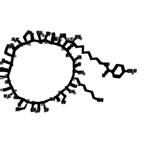 CC[C@@H]1NC(=O)[C@H]([C@H](O)[C@H](C)CCCCCCCNC(=O)c2ccc(C(=O)O)cc2)N(C)C(=O)[C@H](C(C)C)N(C)C(=O)[C@H](CC(C)C)N(C)C(=O)[C@H](CC(C)C)N(C)C(=O)[C@H](C)NC(=O)[C@@H](C)NC(=O)[C@@H](CC(C)C)N(C)C(=O)[C@@H](C(C)C)NC(=O)[C@H](CC(C)C)N(C)C(=O)[C@@H](CSCCCCO)N(C)C1=O